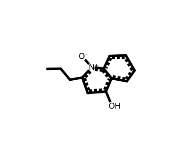 CCCc1cc(O)c2ccccc2[n+]1[O-]